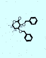 C[C@@H]1OC(=O)[C@@H](OCc2ccccc2)C(OCc2ccccc2)[C@@H]1C